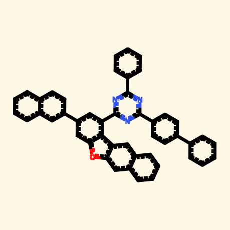 c1ccc(-c2ccc(-c3nc(-c4ccccc4)nc(-c4cc(-c5ccc6ccccc6c5)cc5oc6cc7ccccc7cc6c45)n3)cc2)cc1